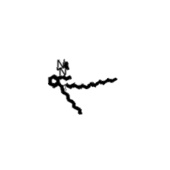 CCCCCCCCCCCCC[C@H](CCCCCCC)c1ccccc1C(CC)n1ccnc1